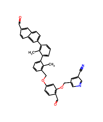 Cc1c(COc2ccc(C=O)c(OCc3cncc(C#N)c3)c2)cccc1-c1cccc(-c2ccc3cc(C=O)ccc3c2)c1C